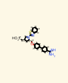 N=C(N)c1ccc(-c2ccc(OC[C@@H]3C[C@@H](CC(=O)O)CN3c3nc4ccccc4s3)cc2)cc1